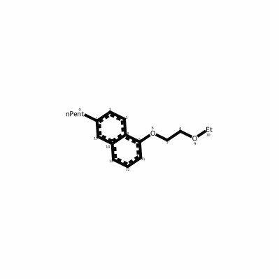 CCCCCc1ccc2c(OCCOCC)cccc2c1